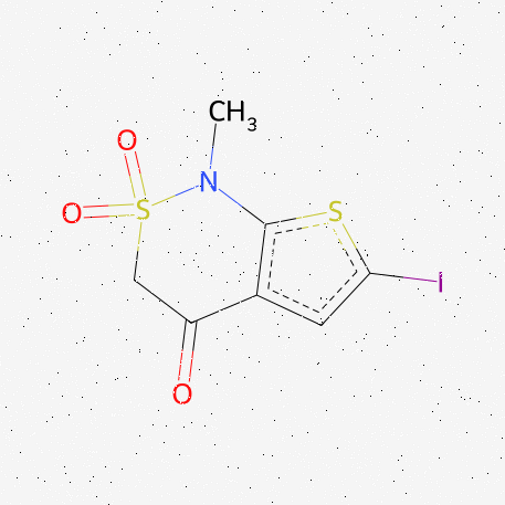 CN1c2sc(I)cc2C(=O)CS1(=O)=O